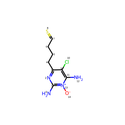 Nc1nc(CCCC=S)c(Cl)c(N)[n+]1[O-]